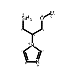 CCOCC(C[SiH3])n1ccnc1